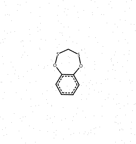 c1ccc2c(c1)OSCSO2